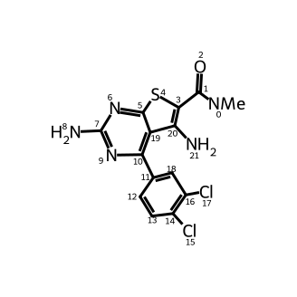 CNC(=O)c1sc2nc(N)nc(-c3ccc(Cl)c(Cl)c3)c2c1N